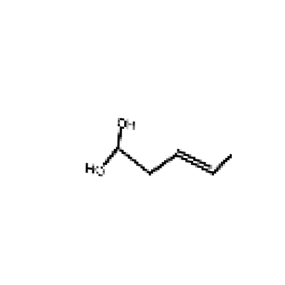 CC=CCC(O)O